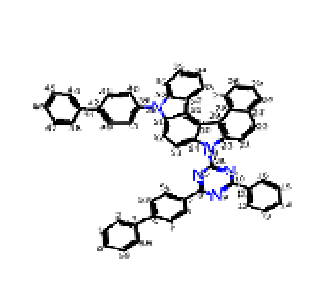 c1ccc(-c2ccc(-c3nc(-c4ccccc4)nc(-n4c5ccc6ccccc6c5c5c6c7ccccc7n(-c7ccc(-c8ccccc8)cc7)c6ccc54)n3)cc2)cc1